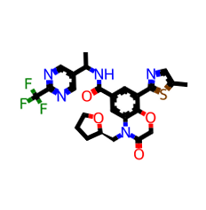 Cc1cnc(-c2cc(C(=O)NC(C)c3cnc(C(F)(F)F)nc3)cc3c2OCC(=O)N3C[C@H]2CCCO2)s1